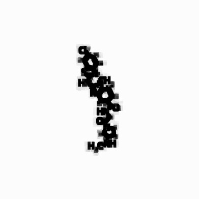 CN[C@H]1CCN(C(=O)CNC(=O)c2ccc3c(c2)nc(Nc2nc4ccc(Cl)cc4s2)n3C)C1